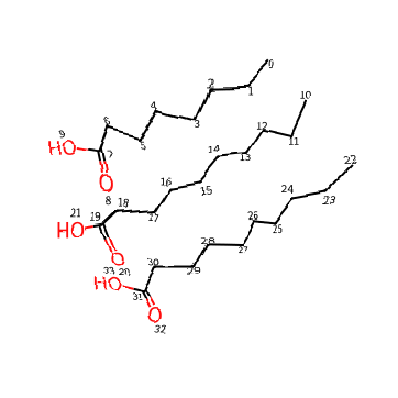 CCCCCCCC(=O)O.CCCCCCCCCC(=O)O.CCCCCCCCCC(=O)O